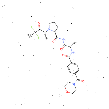 CC(C)C(C(=O)C(F)(F)C(F)(F)F)N1CCC[C@H]1C(=O)NC(=O)[C@@H](NC(=O)c1ccc(C(=O)N2CCOCC2)cc1)C(C)C